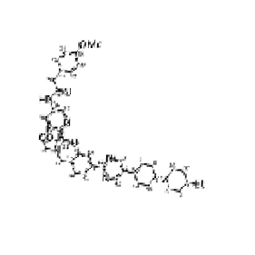 CC[C@H]1CC[C@H](C2CC=C(c3cnc(-c4ccc(CN(CC(=O)O)C(=O)c5ncc(NC(=O)Cc6ccc(OC)cc6)cn5)cc4)nc3)CC2)CC1